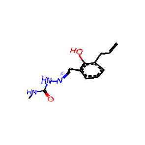 C=CCc1cccc(/C=N/NC(=O)NC)c1O